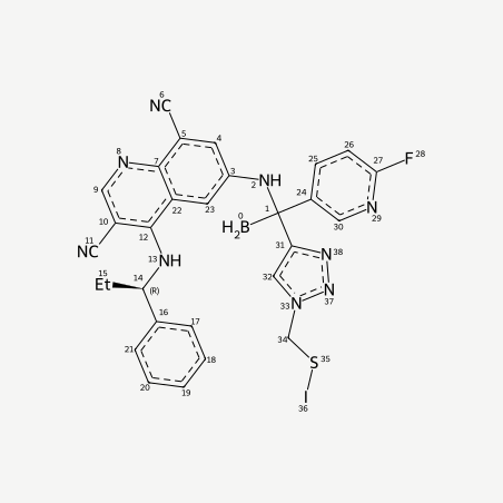 BC(Nc1cc(C#N)c2ncc(C#N)c(N[C@H](CC)c3ccccc3)c2c1)(c1ccc(F)nc1)c1cn(CSI)nn1